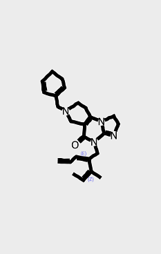 C=C/C=C(CN1C(=O)C2=C(CCN(CC3=CCCC=C3)C2)N2CCN=C12)\C(C)=C/C